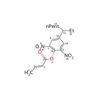 CC=CC(=O)Oc1c([N+](=O)[O-])cc(C(CC)CCCCC)cc1[N+](=O)[O-]